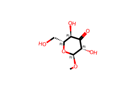 CO[C@H]1O[C@H](CO)[C@@H](O)C(=O)[C@@H]1O